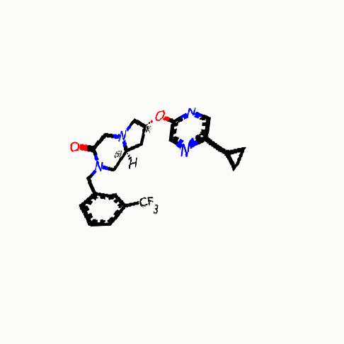 O=C1CN2C[C@H](Oc3cnc(C4CC4)cn3)C[C@H]2CN1Cc1cccc(C(F)(F)F)c1